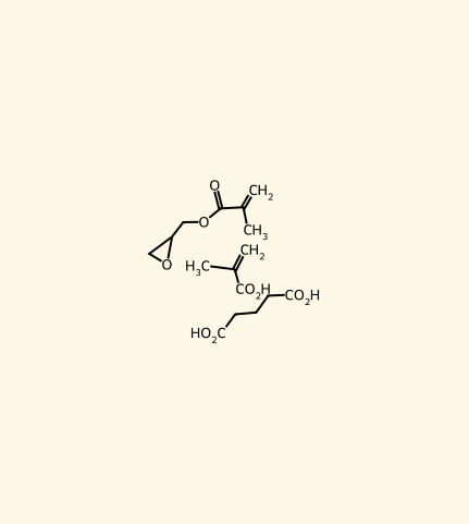 C=C(C)C(=O)O.C=C(C)C(=O)OCC1CO1.O=C(O)CCCC(=O)O